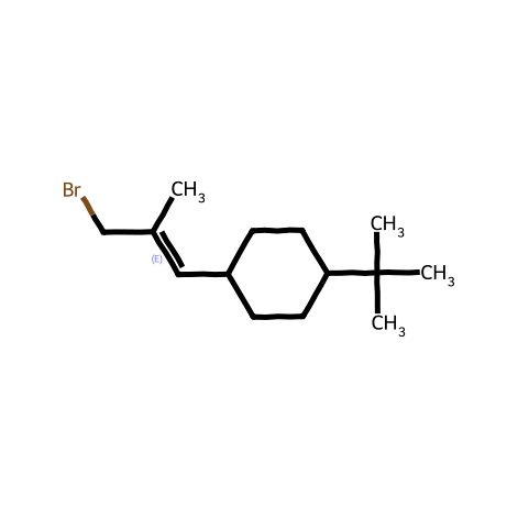 C/C(=C\C1CCC(C(C)(C)C)CC1)CBr